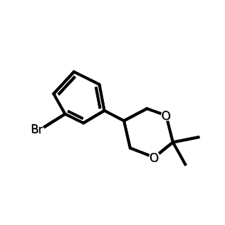 CC1(C)OCC(c2cccc(Br)c2)CO1